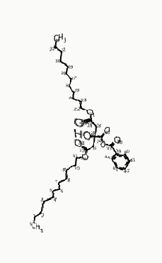 CCCCCCCCCCCCOC(=O)CC(O)(CC(=O)OCCCCCCCCCCCC)C(=O)OC(=O)c1ccccc1